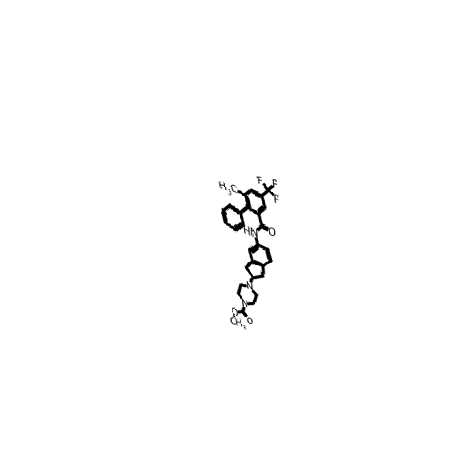 COC(=O)N1CCN(C2Cc3ccc(NC(=O)c4cc(C(F)(F)F)cc(C)c4-c4ccccc4)cc3C2)CC1